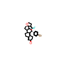 C[C@]12C[C@H](c3ccc(Br)cc3)C3=C4CCC(=O)C=C4CCC3C1CC[C@]21OCCC1=C(F)F